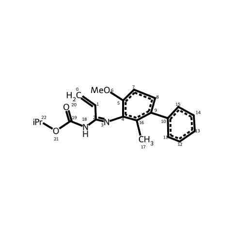 C=C/C(=N\c1c(OC)ccc(-c2ccccc2)c1C)NC(=O)OC(C)C